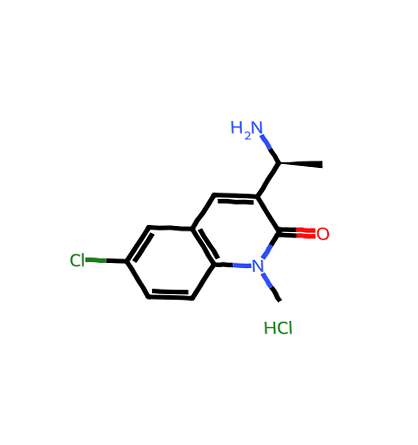 C[C@H](N)c1cc2cc(Cl)ccc2n(C)c1=O.Cl